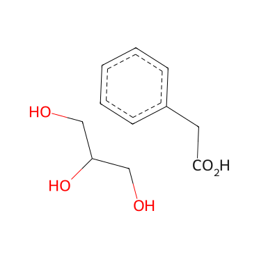 O=C(O)Cc1ccccc1.OCC(O)CO